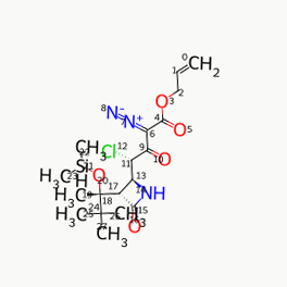 C=CCOC(=O)C(=[N+]=[N-])C(=O)[C@@H](Cl)[C@H]1NC(=O)[C@@H]1[C@@](C)(O[SiH](C)C)C(C)(C)C